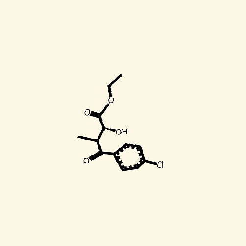 CCOC(=O)[C@@H](O)C(C)C(=O)c1ccc(Cl)cc1